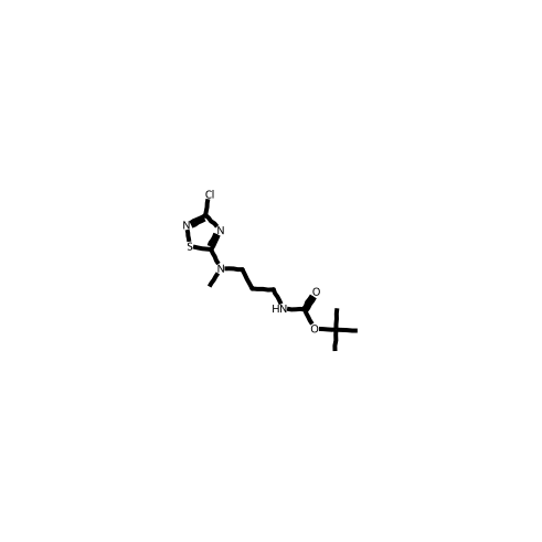 CN(CCCNC(=O)OC(C)(C)C)c1nc(Cl)ns1